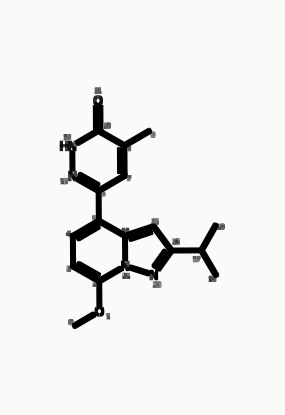 COc1ccc(-c2cc(C)c(=O)[nH]n2)c2cc(C(C)C)nn12